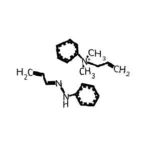 C=CC=NNc1ccccc1.C=CC[N+](C)(C)c1ccccc1